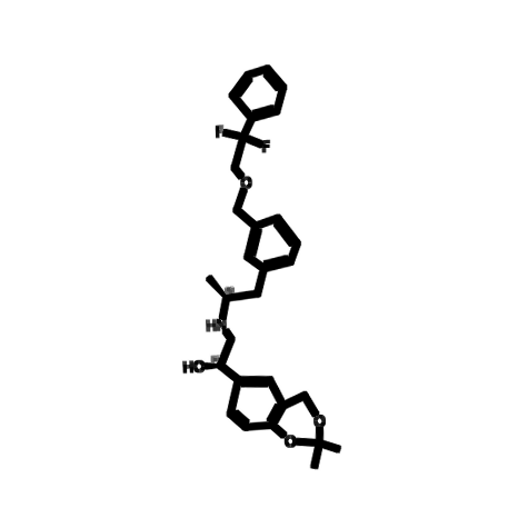 C[C@@H](Cc1cccc(COCC(F)(F)c2ccccc2)c1)NC[C@H](O)c1ccc2c(c1)COC(C)(C)O2